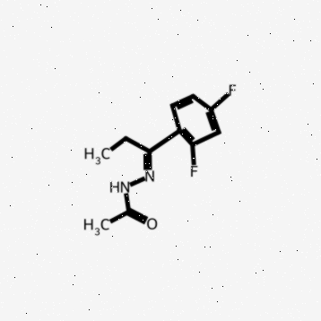 CCC(=NNC(C)=O)c1ccc(F)cc1F